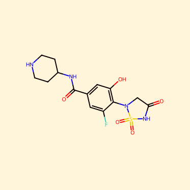 O=C1CN(c2c(O)cc(C(=O)NC3CCNCC3)cc2F)S(=O)(=O)N1